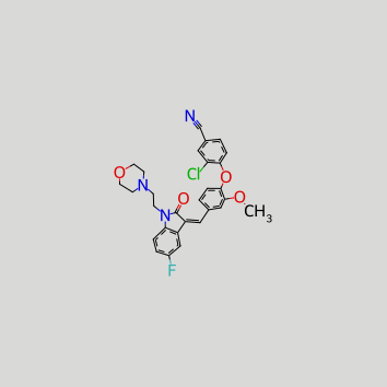 COc1cc(C=C2C(=O)N(CCN3CCOCC3)c3ccc(F)cc32)ccc1Oc1ccc(C#N)cc1Cl